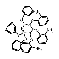 Nc1ccccc1ON1P(Oc2ccccc2)N=P(Oc2ccccc2)(Oc2ccccc2)N(Oc2ccccc2N)P1Oc1ccccc1N